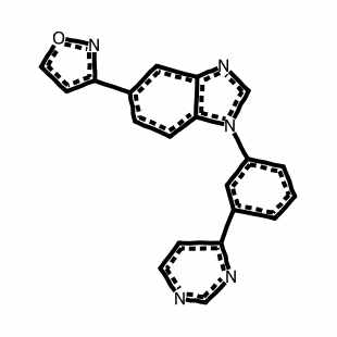 c1cc(-c2ccncn2)cc(-n2cnc3cc(-c4ccon4)ccc32)c1